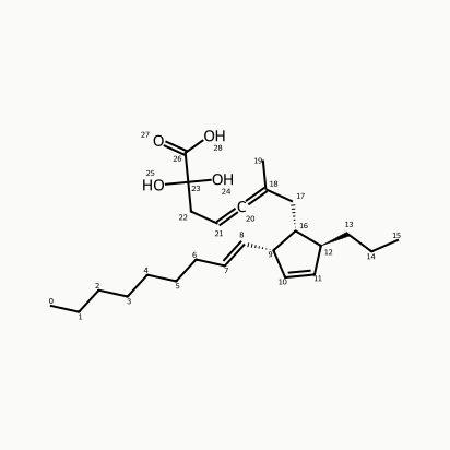 CCCCCCCC=C[C@H]1C=C[C@H](CCC)[C@H]1CC(C)=C=CCC(O)(O)C(=O)O